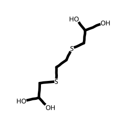 OC(O)CSCCSCC(O)O